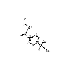 CCOC(=O)c1ccc(C(C)(C)C)cn1